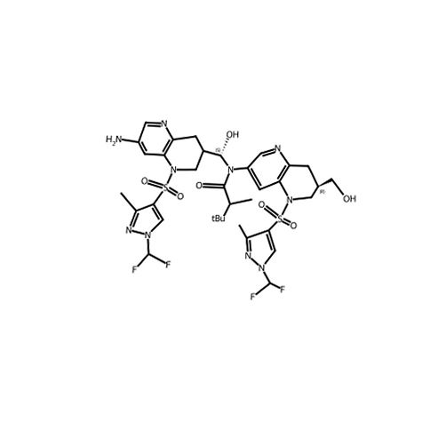 Cc1nn(C(F)F)cc1S(=O)(=O)N1CC([C@H](O)N(C(=O)C(C)C(C)(C)C)c2cnc3c(c2)N(S(=O)(=O)c2cn(C(F)F)nc2C)C[C@H](CO)C3)Cc2ncc(N)cc21